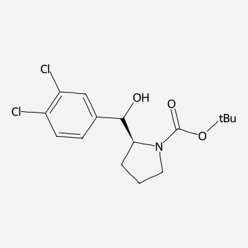 CC(C)(C)OC(=O)N1CCC[C@H]1C(O)c1ccc(Cl)c(Cl)c1